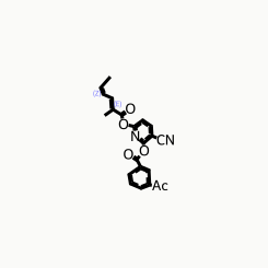 C/C=C\C=C(/C)C(=O)Oc1ccc(C#N)c(OC(=O)c2cccc(C(C)=O)c2)n1